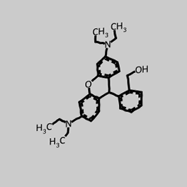 CCN(CC)c1ccc2c(c1)Oc1cc(N(CC)CC)ccc1C2c1ccccc1CO